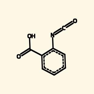 O=C=Nc1ccccc1C(=O)O